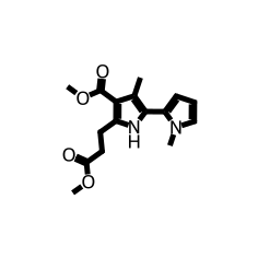 COC(=O)CCc1[nH]c(-c2cccn2C)c(C)c1C(=O)OC